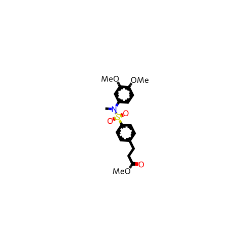 COC(=O)CCc1ccc(S(=O)(=O)N(C)c2ccc(OC)c(OC)c2)cc1